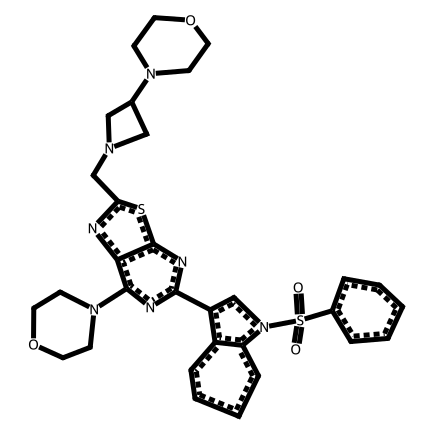 O=S(=O)(c1ccccc1)n1cc(-c2nc(N3CCOCC3)c3nc(CN4CC(N5CCOCC5)C4)sc3n2)c2ccccc21